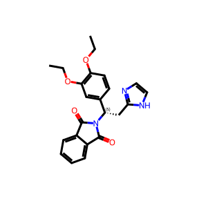 CCOc1ccc([C@H](Cc2ncc[nH]2)N2C(=O)c3ccccc3C2=O)cc1OCC